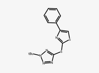 CC(C)(C)n1nnc(Sc2nc(-c3ccccc3)cs2)n1